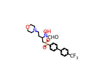 O=CN(O)C(CCN1CCOCC1)CS(=O)(=O)c1ccc(-c2ccc(C(F)(F)F)cc2)cc1